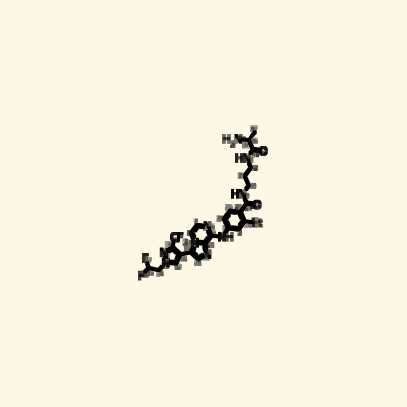 CCc1cc(Nc2nccn3c(-c4cn(CC(F)F)nc4C(F)(F)F)cnc23)ccc1C(=O)NCCCNC(=O)[C@H](C)N